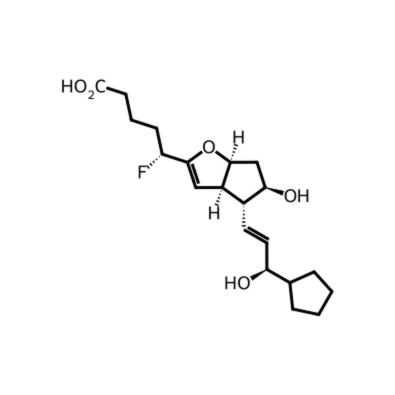 O=C(O)CCC[C@@H](F)C1=C[C@@H]2[C@@H](/C=C/[C@H](O)C3CCCC3)[C@H](O)C[C@@H]2O1